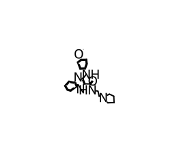 COc1ccc(Nc2nc3ccccc3nc2C(=O)NCCN2CCCC2)cc1